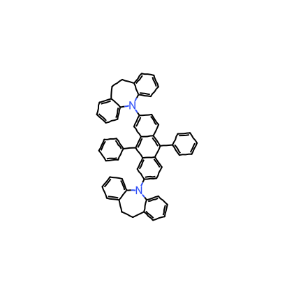 c1ccc(-c2c3ccc(N4c5ccccc5CCc5ccccc54)cc3c(-c3ccccc3)c3cc(N4c5ccccc5CCc5ccccc54)ccc23)cc1